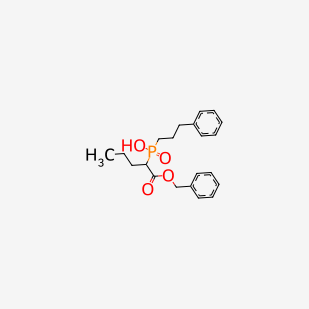 CCCC(C(=O)OCc1ccccc1)P(=O)(O)CCCc1ccccc1